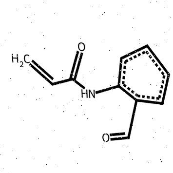 C=CC(=O)Nc1ccccc1C=O